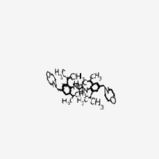 CC(C)c1cc(CN2CCOCC2)cc(C(C)C)c1NCCNc1c(C(C)C)cc(CN2CCOCC2)cc1C(C)C